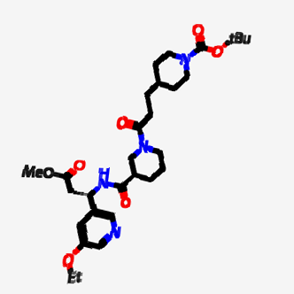 CCOc1cncc([C@H](CC(=O)OC)NC(=O)[C@@H]2CCCN(C(=O)CCC3CCN(C(=O)OC(C)(C)C)CC3)C2)c1